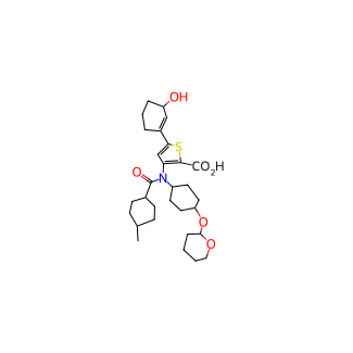 CC1CCC(C(=O)N(c2cc(C3=CC(O)CCC3)sc2C(=O)O)C2CCC(OC3CCCCO3)CC2)CC1